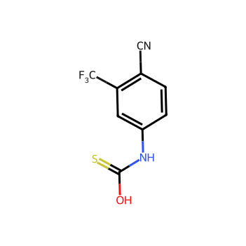 N#Cc1ccc(NC(O)=S)cc1C(F)(F)F